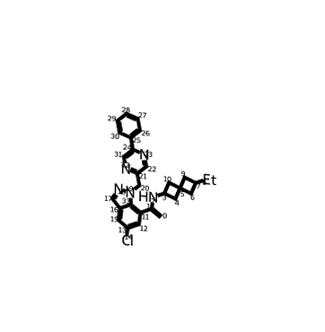 C=C(NC1CC2(CC(CC)C2)C1)c1cc(Cl)cc2cnn(Cc3cnc(-c4ccccc4)cn3)c12